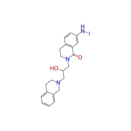 O=C1c2cc(NI)ccc2CCN1CC(O)CN1CCc2ccccc2C1